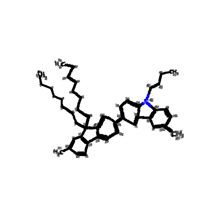 CCCCCCCCC1(CCCCCCCC)c2cc(C)ccc2-c2ccc(-c3ccc4c(c3)c3cc(C)ccc3n4CCCC)cc21